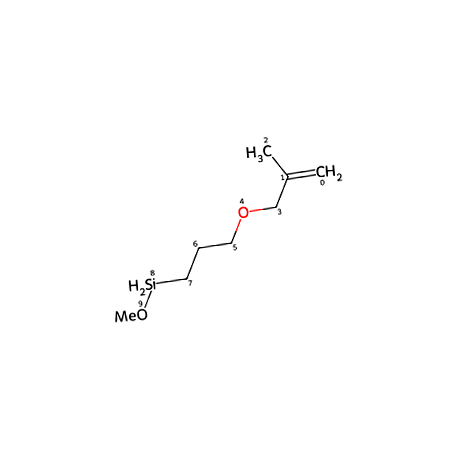 C=C(C)COCCC[SiH2]OC